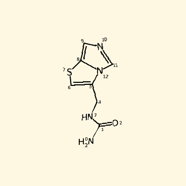 NC(=O)NCc1csc2cncn12